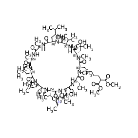 C/C=C/C[C@@H](C)[C@@H](O)[C@H]1C(=O)N[C@@H](CC)C(=O)N(C)[C@H](CSCCCC(C(=O)OC)C(=O)OC)C(=O)N(C)[C@@H](CC(C)(C)O)C(=O)N[C@H](C(C)C)C(=O)N(C)[C@H](CCC(C)C)C(=O)N[C@H](C)C(=O)N[C@@H](C)C(=O)N(C)[C@H](CC(C)C)C(=O)N(C)[C@@H](CC(C)C)C(=O)N(C)[C@@H](C(C)C)C(=O)N1C